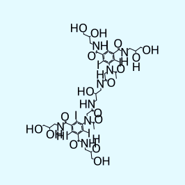 CC(=O)N(CC(=O)NCC(O)CNC(=O)CN(C(C)=O)c1c(I)c(C(=O)NCC(O)CO)c(I)c(C(=O)NCC(O)CO)c1I)c1c(I)c(C(=O)NCC(O)CO)c(I)c(C(=O)NCC(O)CO)c1I